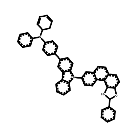 C1=CCC(N(c2ccccc2)c2ccc(-c3ccc4c(c3)c3ccccc3n4-c3ccc4c(ccc5ccc6c(c54)NC(c4ccccc4)O6)c3)cc2)C=C1